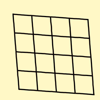 C1C2C3C4CC5C6C7CC8C9C%10CC%11C%12C1C21C32C45C63C78C94C%11%10C%121C234